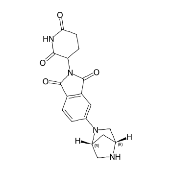 O=C1CCC(N2C(=O)c3ccc(N4C[C@H]5C[C@@H]4CN5)cc3C2=O)C(=O)N1